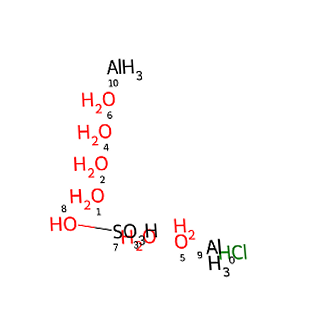 Cl.O.O.O.O.O.O.O=S(=O)(O)O.[AlH3].[AlH3]